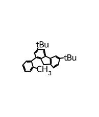 Cc1ccccc1-c1cc(C(C)(C)C)cc2c1Cc1ccc(C(C)(C)C)cc1-2